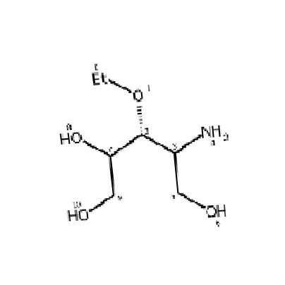 CCO[C@H](C(N)CO)C(O)CO